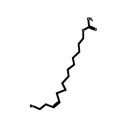 CC(=O)OCCCCCCCCCC/C=C\CCBr